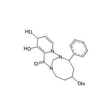 O=C1C2=C(O)C(O)C=CN2N2CN1CCC(O)CC2c1ccccc1